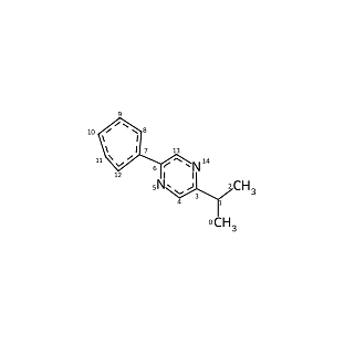 CC(C)c1cnc(-c2ccccc2)cn1